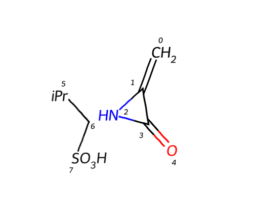 C=C1NC1=O.CC(C)CS(=O)(=O)O